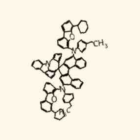 CCc1ccc(N(c2cc3c(c4ccccc24)-c2c(cc(N(c4ccc(CC)cc4)c4cccc5c4oc4c(C6CCCCC6)cccc45)c4ccccc24)C32c3ccccc3-n3c4ccccc4c4cccc2c43)c2cccc3c2oc2c(C4CCCCC4)cccc23)cc1